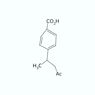 CC(=O)CC(C)c1ccc(C(=O)O)cc1